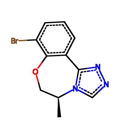 C[C@H]1COc2c(Br)cccc2-c2nncn21